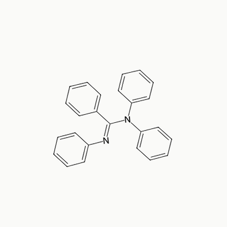 c1ccc(N=C(c2ccccc2)N(c2ccccc2)c2ccccc2)cc1